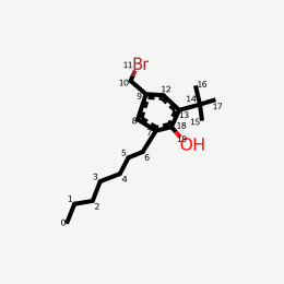 CCCCCCCc1cc(CBr)cc(C(C)(C)C)c1O